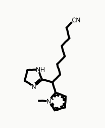 Cn1cccc1C(CCCCCCC#N)C1=NCCN1